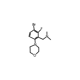 CN(C)Cc1c(N2CCOCC2)ccc(Br)c1F